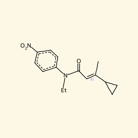 CCN(C(=O)/C=C(\C)C1CC1)c1ccc([N+](=O)[O-])cc1